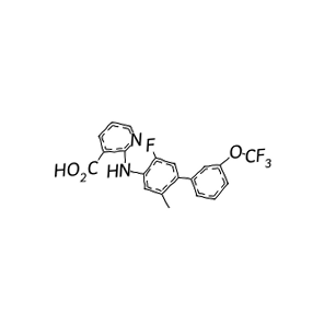 Cc1cc(Nc2ncccc2C(=O)O)c(F)cc1-c1cccc(OC(F)(F)F)c1